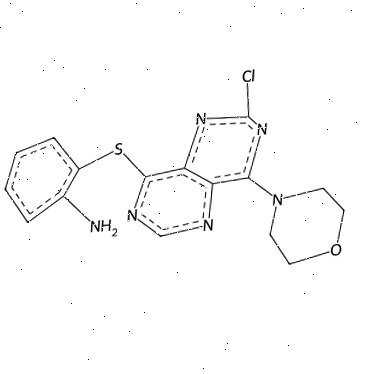 Nc1ccccc1Sc1ncnc2c(N3CCOCC3)nc(Cl)nc12